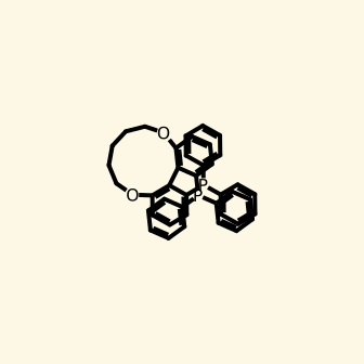 c1ccc(P(c2ccccc2)c2cccc3c2-c2c(cccc2P(c2ccccc2)c2ccccc2)OCCCCCO3)cc1